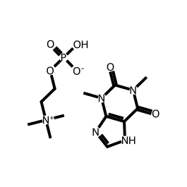 C[N+](C)(C)CCOP(=O)([O-])O.Cn1c(=O)c2[nH]cnc2n(C)c1=O